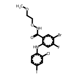 COCCONC(=O)c1cc(Br)c(F)cc1Nc1ccc(I)cc1Cl